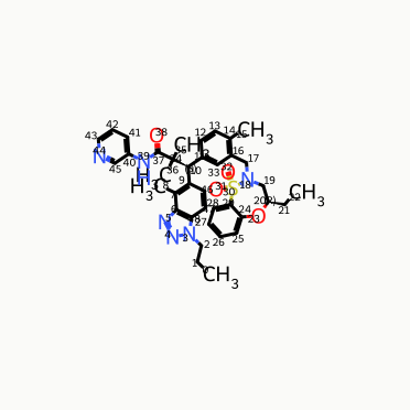 CCCn1nnc2c(C)c([C@H](c3ccc(C)c(CN4C[C@@H](CC)Oc5ccccc5S4(=O)=O)c3)C(C)(C)C(=O)Nc3cccnc3)ccc21